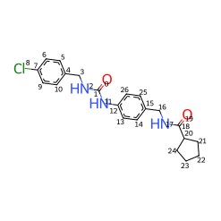 O=C(NCc1ccc(Cl)cc1)Nc1ccc(CNC(=O)C2CCCC2)cc1